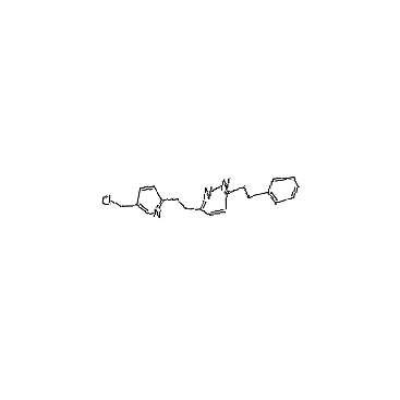 ClCc1ccc(CCc2ccc(CCc3ccccc3)nn2)nc1